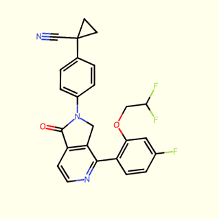 N#CC1(c2ccc(N3Cc4c(ccnc4-c4ccc(F)cc4OCC(F)F)C3=O)cc2)CC1